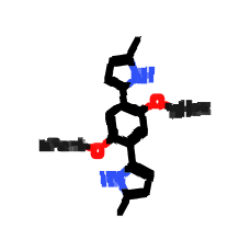 CCCCCCOc1cc(-c2ccc(C)[nH]2)c(OCCCCC)cc1-c1ccc(C)[nH]1